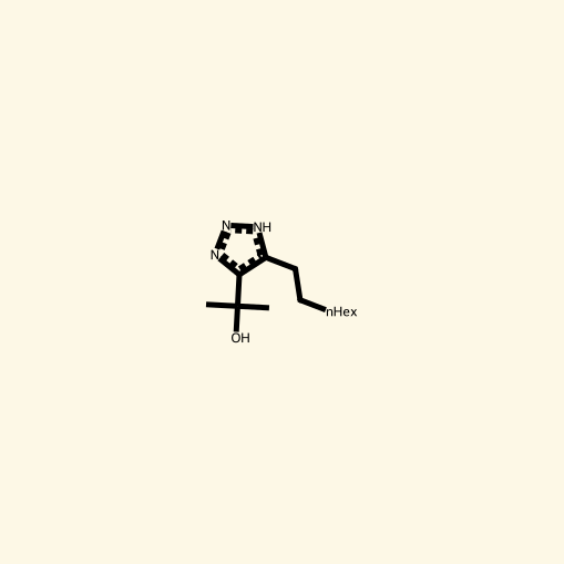 CCCCCCCCc1[nH]nnc1C(C)(C)O